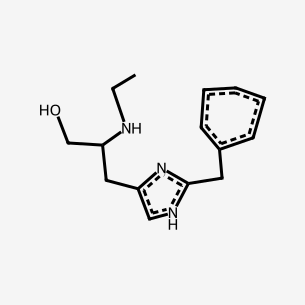 CCNC(CO)Cc1c[nH]c(Cc2ccccc2)n1